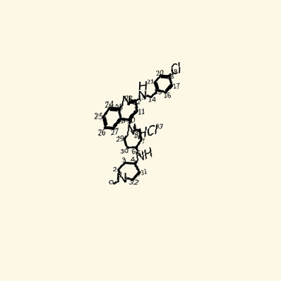 CN1CCC(NC2CCN(c3cc(NCc4ccc(Cl)cc4)nc4ccccc34)CC2)CC1.Cl